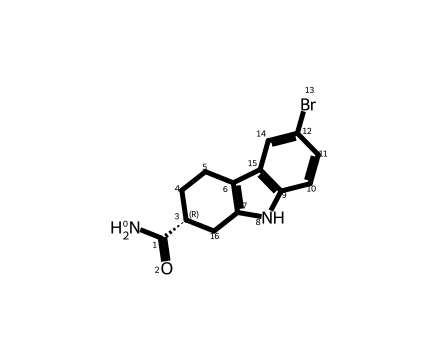 NC(=O)[C@@H]1CCc2c([nH]c3ccc(Br)cc23)C1